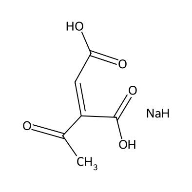 CC(=O)/C(=C/C(=O)O)C(=O)O.[NaH]